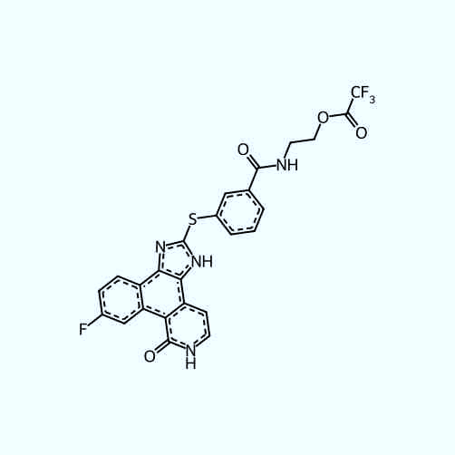 O=C(NCCOC(=O)C(F)(F)F)c1cccc(Sc2nc3c4ccc(F)cc4c4c(=O)[nH]ccc4c3[nH]2)c1